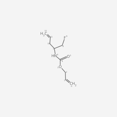 C=CCOC(=O)NC(CF)CC=C